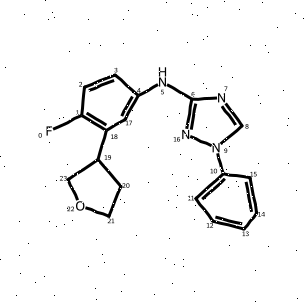 Fc1ccc(Nc2ncn(-c3ccccc3)n2)cc1C1CCOC1